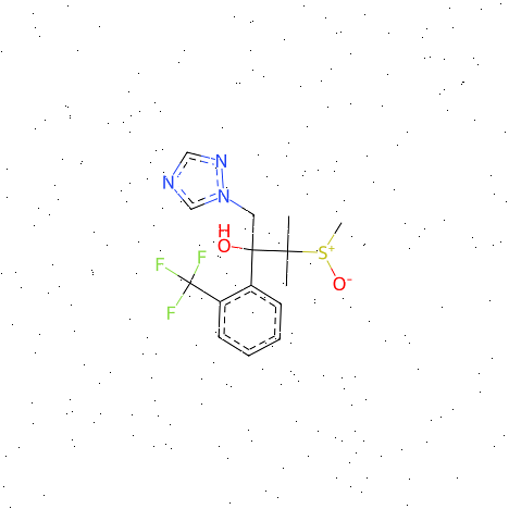 C[S+]([O-])C(C)(C)C(O)(Cn1cncn1)c1ccccc1C(F)(F)F